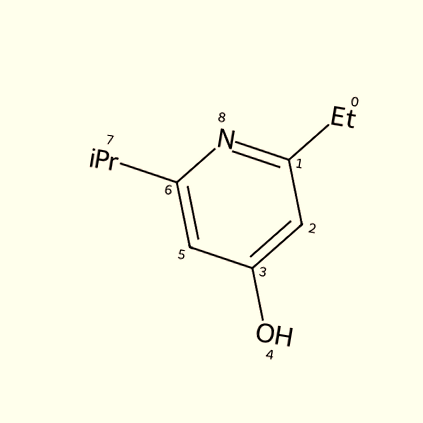 CCc1cc(O)cc(C(C)C)n1